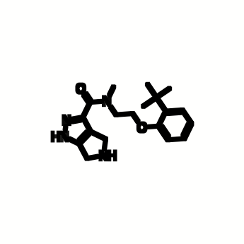 CN(CCOc1ccccc1C(C)(C)C)C(=O)c1n[nH]c2c1CNC2